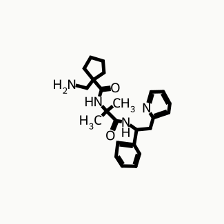 CC(C)(NC(=O)C1(CN)CCCC1)C(=O)NC(Cc1ccccn1)c1ccccc1